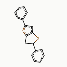 c1ccc(-c2cc3c(s2)CC(c2ccccc2)S3)cc1